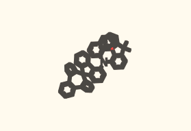 CC1(C)c2ccccc2-c2c(N(c3cccc4c3-c3ccccc3C43c4ccccc4-c4ccccc4-c4ccccc43)c3cccc4ccccc34)cccc21